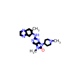 Cc1cc2nccnc2cc1Nc1ncc2c(n1)n(C1CCN(C)CC1)c(=O)n2C